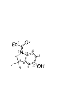 CCC(=O)N1CC(C)(C)c2cc(O)ccc21